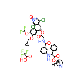 O=C(CNC(=O)c1cccc(NC(C(=O)O[C@H]2CN3CCC2CC3)c2ccccc2)c1)O[C@@H](Cc1c(Cl)c[n+]([O-])cc1Cl)c1ccc(OC(F)F)c(OCC2CC2)c1.O=C(O)C(F)(F)F